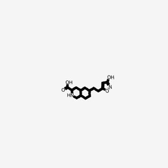 O=C(O)C1CC2CC(CCc3cc(O)no3)CCC2CN1